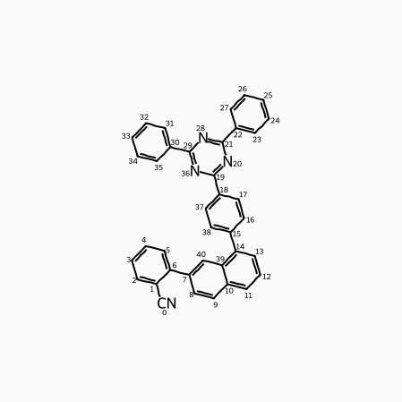 N#Cc1ccccc1-c1ccc2cccc(-c3ccc(-c4nc(-c5ccccc5)nc(-c5ccccc5)n4)cc3)c2c1